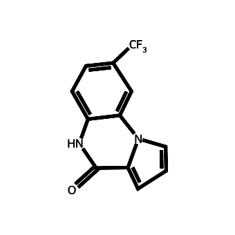 O=c1[nH]c2ccc(C(F)(F)F)cc2n2cccc12